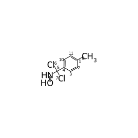 Cc1ccc(C(Cl)(Cl)NO)cc1